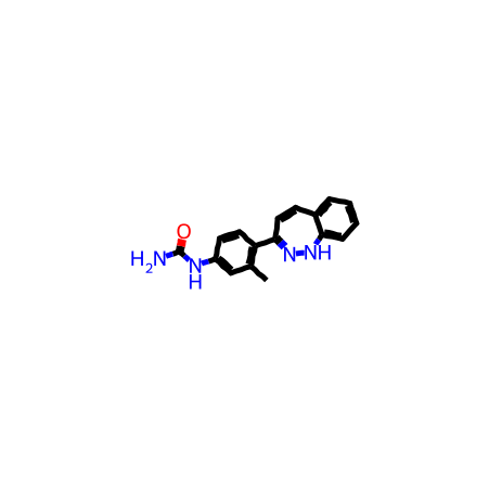 Cc1cc(NC(N)=O)ccc1C1=NNc2ccccc2C=C1